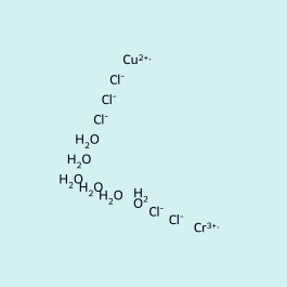 O.O.O.O.O.O.[Cl-].[Cl-].[Cl-].[Cl-].[Cl-].[Cr+3].[Cu+2]